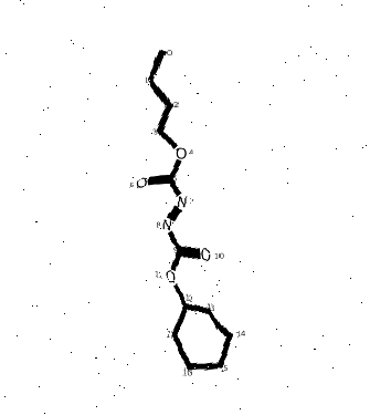 CCCCOC(=O)/N=N/C(=O)OC1CCCCC1